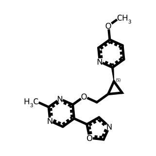 COc1ccc([C@H]2CC2COc2nc(C)ncc2-c2cnco2)nc1